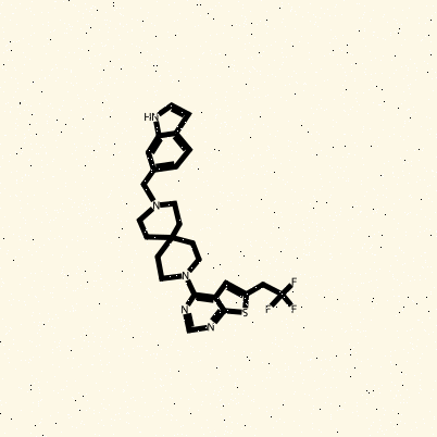 FC(F)(F)Cc1cc2c(N3CCC4(CCN(Cc5ccc6cc[nH]c6c5)CC4)CC3)ncnc2s1